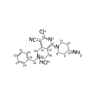 Cl.N#Cc1c(Cl)nc(N2CCC(N)CC2)c2c1CN(Cc1ccccc1)CC2